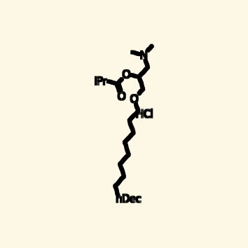 CCCCCCCCCCCCCCCCCCOCC(CN(C)C)OC(=O)C(C)C.Cl